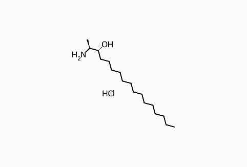 CCCCCCCCCCCCCC[C@@H](O)[C@H](C)N.Cl